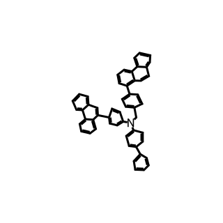 c1ccc(-c2ccc(N(Cc3ccc(-c4cccc5c4ccc4ccccc45)cc3)c3ccc(-c4cc5ccccc5c5ccccc45)cc3)cc2)cc1